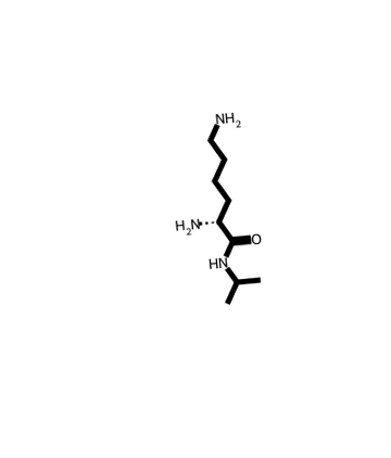 CC(C)NC(=O)[C@H](N)CCCCN